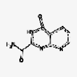 NC(=O)c1nc2ncccc2c(=O)[nH]1